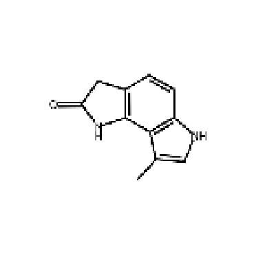 Cc1c[nH]c2ccc3c(c12)NC(=O)C3